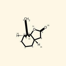 C=C1C[C@H]2CCC[C@H]3CC(=O)O[C@@]23C1